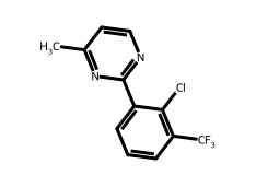 Cc1ccnc(-c2cccc(C(F)(F)F)c2Cl)n1